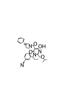 CCC(c1cccc(C#N)c1)n1c(COC(C)C)nc(O)c(C(=O)N2CC[C@H](c3ccccc3)C2)c1=O